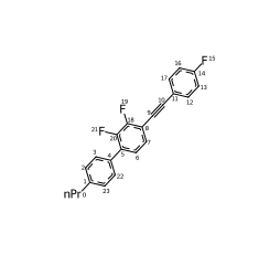 CCCc1ccc(-c2ccc(C#Cc3ccc(F)cc3)c(F)c2F)cc1